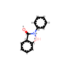 O=C1c2ccccc2BN1c1ccccc1